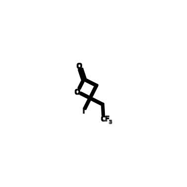 O=C1CC(I)(CC(F)(F)F)O1